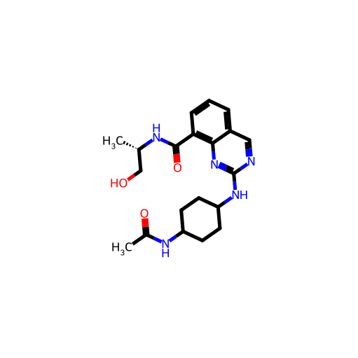 CC(=O)NC1CCC(Nc2ncc3cccc(C(=O)N[C@@H](C)CO)c3n2)CC1